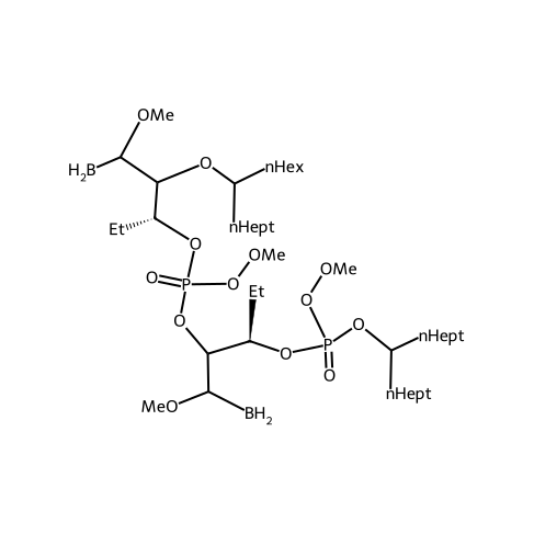 BC(OC)C(OP(=O)(OOC)O[C@H](CC)C(OC(CCCCCC)CCCCCCC)C(B)OC)[C@@H](CC)OP(=O)(OOC)OC(CCCCCCC)CCCCCCC